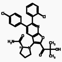 CC(C)(O)C(=O)c1oc2nc(-c3ccccc3Cl)c(-c3ccc(Cl)cc3)cc2c1N1CCC[C@H]1C(N)=O